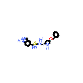 c1ccc(CO[C@H]2CN[C@@H](CNc3nnc(-c4ccc5[nH]ncc5c4)s3)C2)cc1